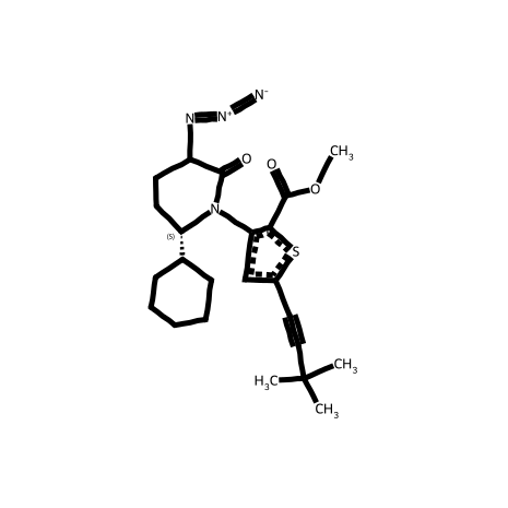 COC(=O)c1sc(C#CC(C)(C)C)cc1N1C(=O)C(N=[N+]=[N-])CC[C@H]1C1CCCCC1